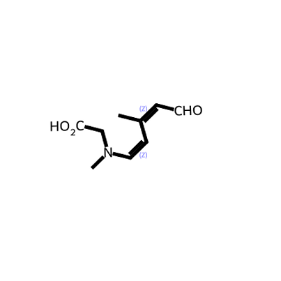 CC(/C=C\N(C)CC(=O)O)=C/C=O